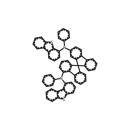 c1ccc(N(c2ccc3c(c2)C2(c4ccccc4-3)c3ccccc3-c3c(N(c4ccccc4)c4cccc5sc6ccccc6c45)cccc32)c2cccc3c2sc2ccccc23)cc1